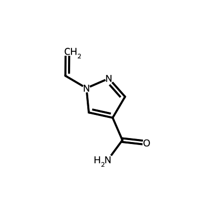 C=Cn1cc(C(N)=O)cn1